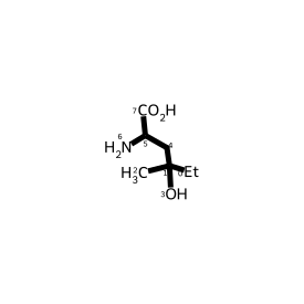 CCC(C)(O)CC(N)C(=O)O